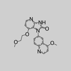 COCCOc1ccnc2[nH]c(=O)n(-c3ccc4nccc(OC)c4c3)c12